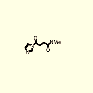 CNC(=O)CCC(=O)n1ccnc1